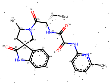 Cc1cccc(NC(=O)C(=O)N[C@@H](CC(C)(C)C)C(=O)N2C[C@]3(CC2C#N)C(=O)Nc2ccccc23)n1